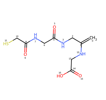 C=C(CNC(=O)CNC(=O)CS)NCC(=O)O